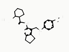 CS(=O)(=O)c1ccc(NCc2c(NC(=O)C3CCCCC3C(=O)O)sc3c2CCC3)cc1